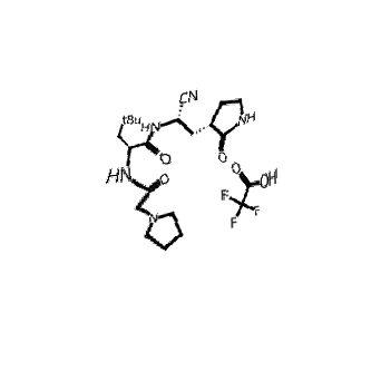 CC(C)(C)C[C@H](NC(=O)CN1CCCC1)C(=O)N[C@H](C#N)C[C@@H]1CCNC1=O.O=C(O)C(F)(F)F